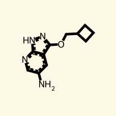 Nc1cnc2[nH]nc(OCC3CCC3)c2c1